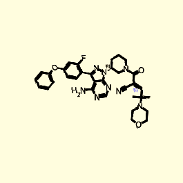 CC(C)(/C=C(\C#N)C(=O)N1CCC[C@@H](n2nc(-c3ccc(Oc4ccccc4)cc3F)c3c(N)ncnc32)C1)N1CCOCC1